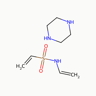 C1CNCCN1.C=CNS(=O)(=O)C=C